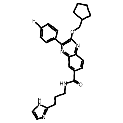 O=C(NCCCc1ncc[nH]1)c1ccc2nc(OCC3CCCC3)c(-c3ccc(F)cc3)nc2c1